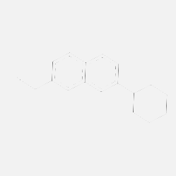 NCc1ccc2ccc(C3CCCCC3)cc2c1